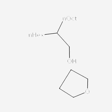 C1CCOC1.CCCCCCCCC(CO)CCCCCC